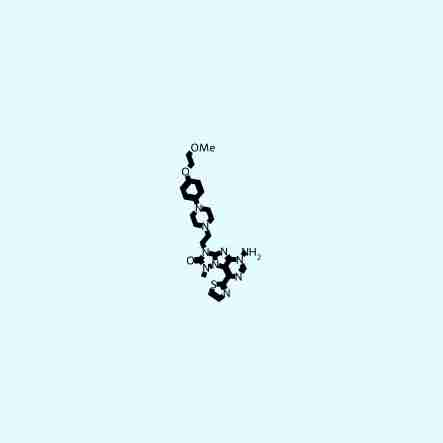 COCCOc1ccc(N2CCN(CCN3C(=O)N(C)N4C5=C(c6nccs6)N=CN(N)C5=NC34)CC2)cc1